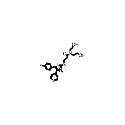 Cn1c(SCCC(=O)N(CCO)CCO)nc(-c2ccc(F)cc2)c1-c1ccncc1